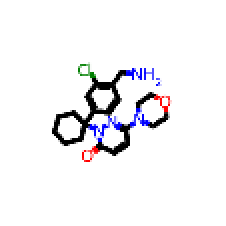 NCc1ccc(C2(n3nc(N4CCOCC4)ccc3=O)CCCCC2)cc1Cl